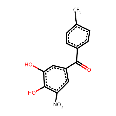 O=C(c1ccc(C(F)(F)F)cc1)c1cc(O)c(O)c([N+](=O)[O-])c1